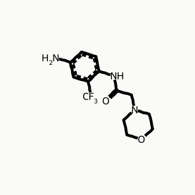 Nc1ccc(NC(=O)CN2CCOCC2)c(C(F)(F)F)c1